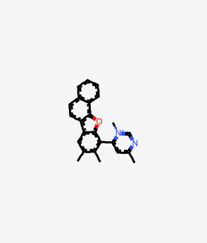 Cc1cc(-c2c(C)c(C)cc3c2oc2c4ccccc4ccc32)[n+](C)cn1